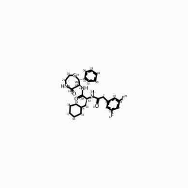 O=C(Cc1cc(F)cc(F)c1)N[C@@H](CC1CCCCC1)C(=O)N[C@@H]1C(=O)NCCS[C@@H]1c1ccccc1